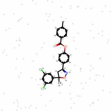 Cc1ccc(C(=O)Oc2ccc(C3=NOC(c4cc(Cl)cc(Cl)c4)(C(F)(F)F)C3)cc2)cc1